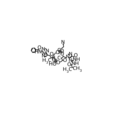 CC(C)C(=O)Nc1nc2c(ncn2C2OC3COP(O)OC4C(COP(=O)(OCCC#N)OC2C3C)OC(c2cnn3c(NC(=O)c5ccccc5)ncnc23)C4C)c(=O)[nH]1